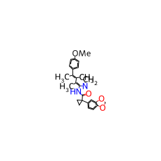 C=N/C(NC(=O)C1(c2ccc3c(c2)OCO3)CC1)=C(C)\C(C)=C(/C)c1ccc(OC)cc1